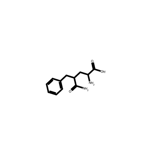 NC(=O)C(Cc1ccccc1)CC(N)C(=O)O